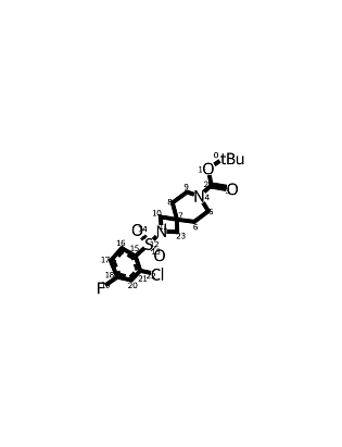 CC(C)(C)OC(=O)N1CCC2(CC1)CN(S(=O)(=O)c1ccc(F)cc1Cl)C2